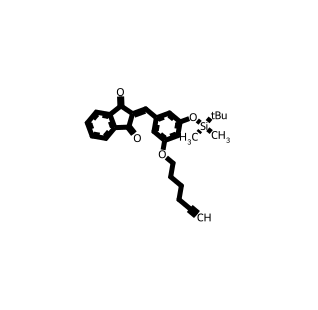 C#CCCCCOc1cc(C=C2C(=O)c3ccccc3C2=O)cc(O[Si](C)(C)C(C)(C)C)c1